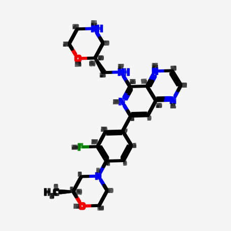 C[C@H]1CN(c2ccc(-c3cc4nccnc4c(NC[C@@H]4CNCCO4)n3)cc2F)CCO1